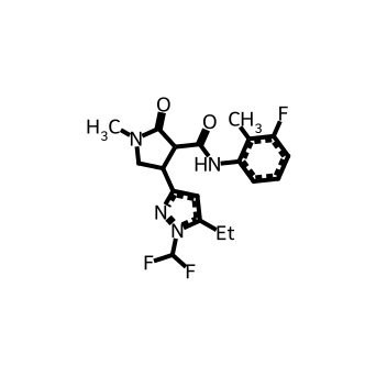 CCc1cc(C2CN(C)C(=O)C2C(=O)Nc2cccc(F)c2C)nn1C(F)F